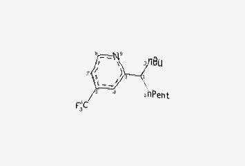 CCCCCC(CCCC)c1cc(C(F)(F)F)ccn1